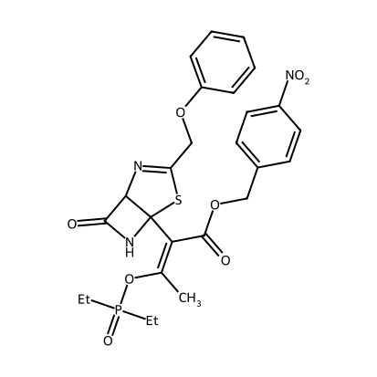 CCP(=O)(CC)OC(C)=C(C(=O)OCc1ccc([N+](=O)[O-])cc1)C12NC(=O)C1N=C(COc1ccccc1)S2